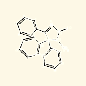 O=[N+]([O-])N1N(I)N=C(c2ccccc2)[N+]1(c1ccccc1)c1ccccc1